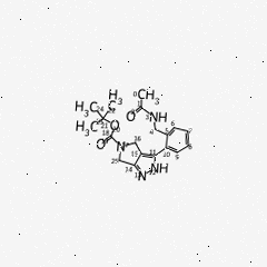 CC(=O)NCc1ccccc1-c1[nH]nc2c1CN(C(=O)OC(C)(C)C)C2